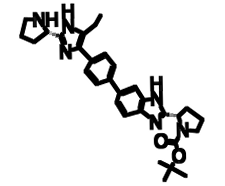 CCc1[nH]c([C@@H]2CCCN2)nc1-c1ccc(-c2ccc3nc([C@@H]4CCCN4C(=O)OC(C)(C)C)[nH]c3c2)cc1